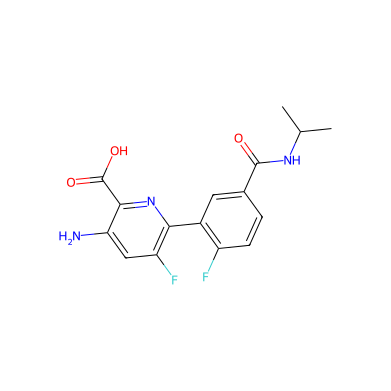 CC(C)NC(=O)c1ccc(F)c(-c2nc(C(=O)O)c(N)cc2F)c1